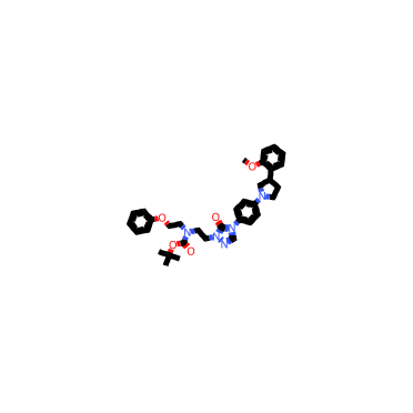 COc1ccccc1C1CCN(c2ccc(-n3cnn(CCN(CCOc4ccccc4)C(=O)OC(C)(C)C)c3=O)cc2)C1